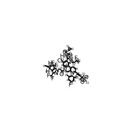 C=C1[C@@H]2c3c(C(F)F)nn(CC(=O)N[C@@H](Cc4cc(F)cc(F)c4)c4nc(C#CC(C)(C)S(C)(=O)=O)ccc4-c4ccc(Cl)c5c(NS(=O)(=O)C6CC6)nn(CC(F)F)c45)c3C(F)(F)[C@H]12